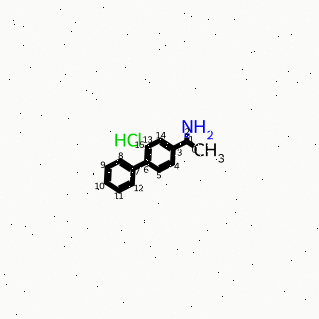 CC(N)c1ccc(-c2ccccc2)cc1.Cl